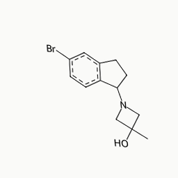 CC1(O)CN(C2CCc3cc(Br)ccc32)C1